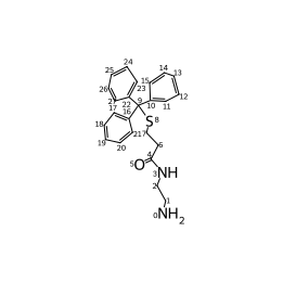 NCCNC(=O)CCSC(c1ccccc1)(c1ccccc1)c1ccccc1